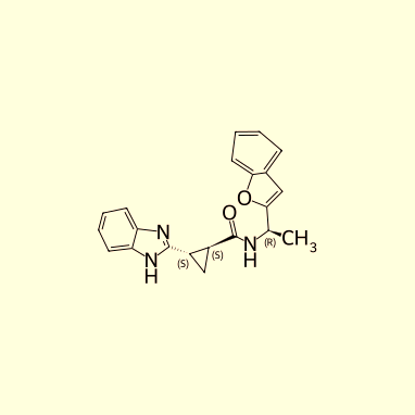 C[C@@H](NC(=O)[C@H]1C[C@@H]1c1nc2ccccc2[nH]1)c1cc2ccccc2o1